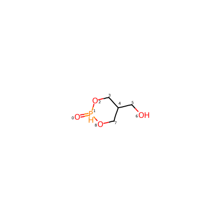 O=[PH]1OCC(CO)CO1